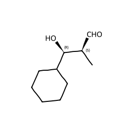 C[C@H](C=O)[C@H](O)C1CCCCC1